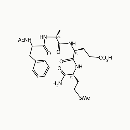 CSCC[C@H](NC(=O)[C@H](CCC(=O)O)NC(=O)[C@H](C)NC(=O)C(Cc1ccccc1)NC(C)=O)C(N)=O